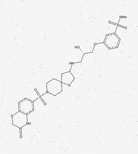 CNS(=O)(=O)c1cccc(OC[C@@H](O)CNC2COC3(CCN(S(=O)(=O)c4ccc5c(c4)NC(=O)CO5)CC3)C2)c1